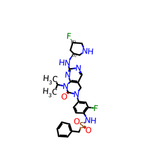 CC(C)N1C(=O)N(c2ccc(NS(=O)(=O)Cc3ccccc3)c(F)c2)Cc2cnc(N[C@@H]3CNC[C@@H](F)C3)nc21